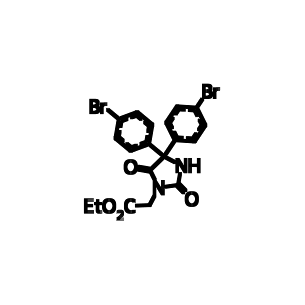 CCOC(=O)CN1C(=O)NC(c2ccc(Br)cc2)(c2ccc(Br)cc2)C1=O